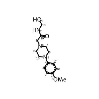 COc1ccc(N2CCN(CC(=O)NCO)CC2)cc1